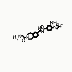 NCC(=O)N1CCc2ccc(-c3noc(-c4ccc(N5CC(F)C5)c(N)c4)n3)cc2CC1